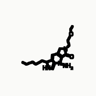 CCCCCC1NC=C2C1=CC1=C(C(=O)N(CCOCC)C1)N2N